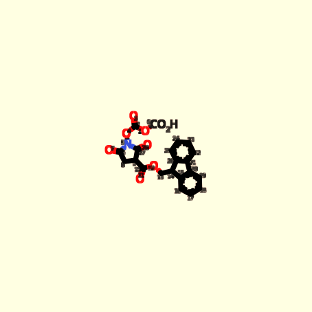 O=C(O)OC(=O)ON1C(=O)CC(C(=O)OCC2c3ccccc3-c3ccccc32)C1=O